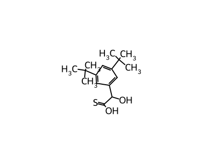 CC(C)(C)c1cc(C(O)C(O)=S)cc(C(C)(C)C)c1